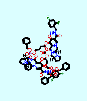 O=C(OC(CCCOP(=O)(OCc1ccccc1)OCc1ccccc1)Oc1c2n(cc(C(=O)NCc3ccc(F)cc3F)c1=O)C[C@@H]1N(C[C@H]3CCCN31)C2=O)OC(CCCOP(=O)(OCc1ccccc1)OCc1ccccc1)Oc1c2n(cc(C(=O)NCc3ccc(F)cc3F)c1=O)C[C@@H]1N(C[C@H]3CCCN31)C2=O